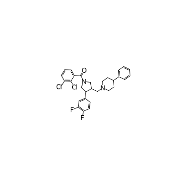 O=C(c1cccc(Cl)c1Cl)N1CC(CN2CCC(c3ccccc3)CC2)C(c2ccc(F)c(F)c2)C1